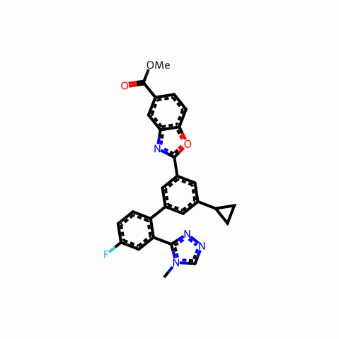 COC(=O)c1ccc2oc(-c3cc(-c4ccc(F)cc4-c4nncn4C)cc(C4CC4)c3)nc2c1